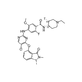 CCN1CC[C@H](NC(=O)c2cc(OC)c(Nc3ncc(Cl)c(Oc4cccc5c4C(=O)N(C)C5C)n3)cc2F)[C@H](F)C1